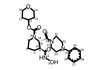 O=C(NO)[C@H]1CCCN(C(=O)OC2CCOCC2)[C@@H]1C(=O)N1CCN(c2ccccc2)CC1